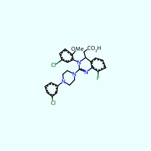 COc1ccc(Cl)cc1N1C(N2CCN(c3cccc(Cl)c3)CC2)=Nc2c(F)cccc2C1CC(=O)O